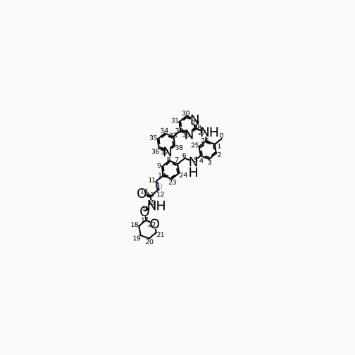 Cc1ccc(NCc2ccc(/C=C/C(=O)NOC3CCCCO3)cc2)cc1Nc1nccc(-c2cccnc2)n1